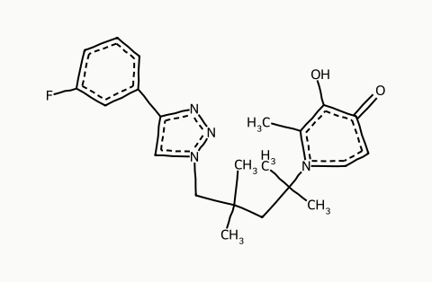 Cc1c(O)c(=O)ccn1C(C)(C)CC(C)(C)Cn1cc(-c2cccc(F)c2)nn1